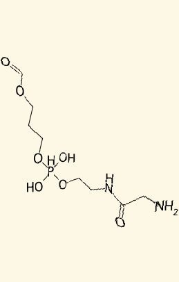 NCC(=O)NCCO[PH](O)(O)OCCCOC=O